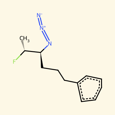 C[C@@H](F)[C@H](CCCc1ccccc1)N=[N+]=[N-]